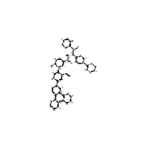 C=Cc1cc(-c2ccc3c4ccccc4c4ccccc4c3c2)ccc1-c1cc(C(C)N[C@@H](c2ccc(C3=CC=CCC3)cc2)C(C)c2ccccc2)ccc1C